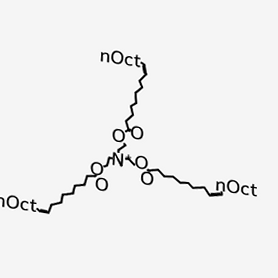 CCCCCCCC/C=C\CCCCCCCC(=O)OCC[N+](C)(CCOC(=O)CCCCCCC/C=C\CCCCCCCC)CCOC(=O)CCCCCCC/C=C\CCCCCCCC